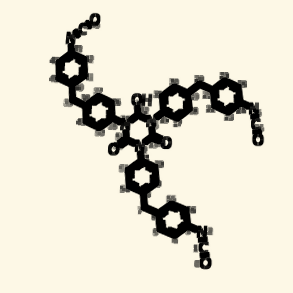 O=C=Nc1ccc(Cc2ccc(N3C(=O)N(c4ccc(Cc5ccc(N=C=O)cc5)cc4)C(O)N(c4ccc(Cc5ccc(N=C=O)cc5)cc4)C3=O)cc2)cc1